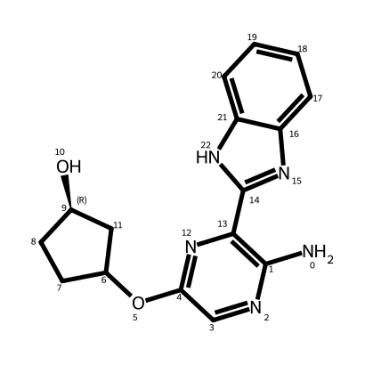 Nc1ncc(OC2CC[C@@H](O)C2)nc1-c1nc2ccccc2[nH]1